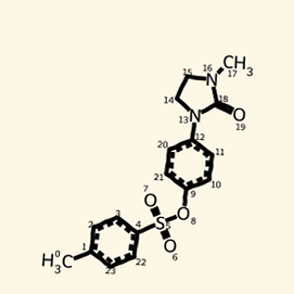 Cc1ccc(S(=O)(=O)Oc2ccc(N3CCN(C)C3=O)cc2)cc1